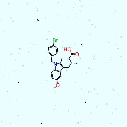 COc1ccc2c(c1)c(C[C@@H](C)CC(=O)O)c(C)n2Cc1ccc(Br)cc1